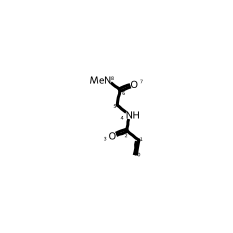 C=CC(=O)NCC(=O)NC